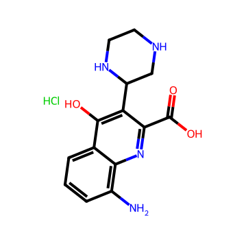 Cl.Nc1cccc2c(O)c(C3CNCCN3)c(C(=O)O)nc12